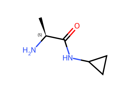 C[C@H](N)C(=O)NC1CC1